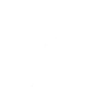 c1ccc(-c2cccc(-c3oc(-c4ccccc4-c4ccc5c(c4)oc4ccccc45)c4ccccc34)c2)cc1